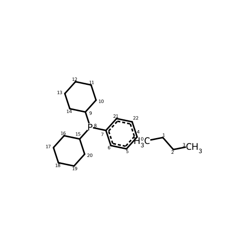 CCCC.c1ccc(P(C2CCCCC2)C2CCCCC2)cc1